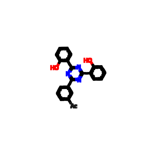 CC(=O)c1cccc(-c2nc(-c3ccccc3O)nc(-c3ccccc3O)n2)c1